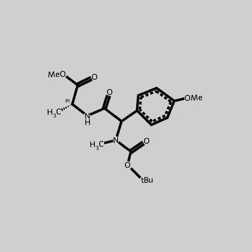 COC(=O)[C@@H](C)NC(=O)C(c1ccc(OC)cc1)N(C)C(=O)OC(C)(C)C